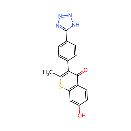 Cc1sc2cc(O)ccc2c(=O)c1-c1ccc(-c2nnn[nH]2)cc1